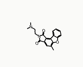 Cc1cc2c(c3c1oc1ccccc13)C(=O)N(CCN(C)C)C2=O